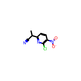 CC(C#N)c1ccc([N+](=O)[O-])c(Cl)n1